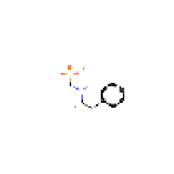 O=C(O)[C@H](Cc1ccccc1)N(O)CP(=O)(O)OF